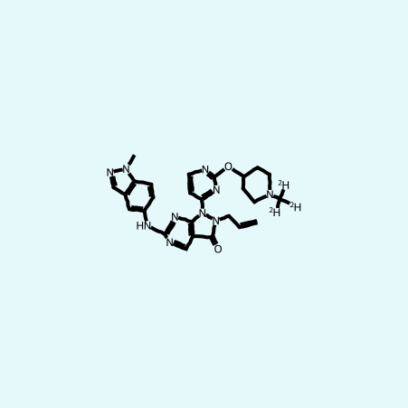 [2H]C([2H])([2H])N1CCC(Oc2nccc(-n3c4nc(Nc5ccc6c(cnn6C)c5)ncc4c(=O)n3CC=C)n2)CC1